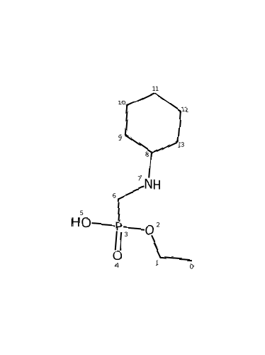 CCOP(=O)(O)CNC1CCCCC1